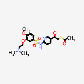 COc1ccc(S(=O)(=O)Nc2ccc(C(=O)CSC(C)=O)cn2)cc1OCCN(C)C